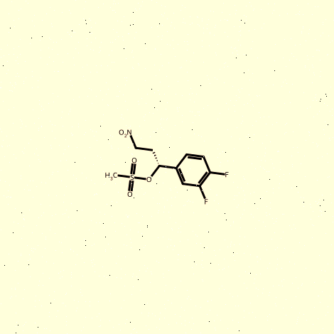 CS(=O)(=O)O[C@H](CC[N+](=O)[O-])c1ccc(F)c(F)c1